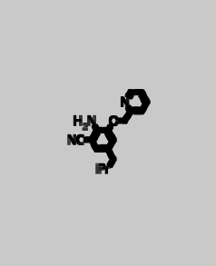 CC(C)Cc1cc(C#N)c(N)c(OCc2ccccn2)c1